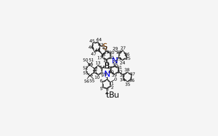 Cc1cc(C(C)(C)C)ccc1N1c2cc3c(cc2B2c4cc5c(cc4N(c4ccccc4C)c4cc(-c6ccccc6)cc1c42)sc1ccccc15)C(C)(C)CCC3(C)C